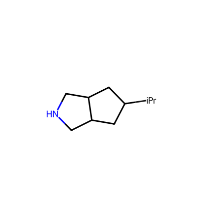 CC(C)C1CC2CNCC2C1